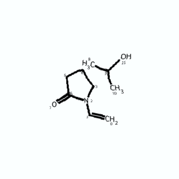 C=CN1CCCC1=O.CC(C)O